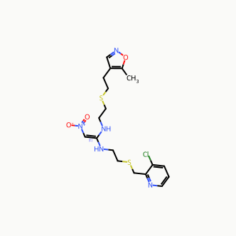 Cc1oncc1CCSCCN/C(=C\[N+](=O)[O-])NCCSCc1ncccc1Cl